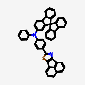 c1ccc(N(c2ccc(-c3nc4c(s3)-c3cccc5cccc-4c35)cc2)c2ccc3c(c2)C2(c4ccccc4-c4ccccc42)c2ccccc2-3)cc1